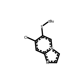 CC(C)(C)Sc1cn2ccnc2cc1Cl